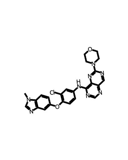 Cn1cnc2cc(Oc3ccc(Nc4ncnc5cnc(N6CCOCC6)nc45)cc3Cl)ccc21